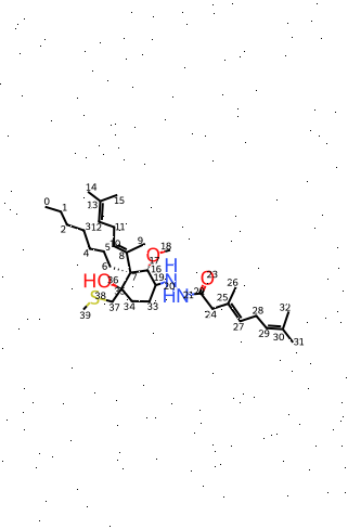 CCCCCCC[C@]1(/C(C)=C/CC=C(C)C)[C@H](OC)C(NNC(=O)C/C(C)=C/CC=C(C)C)CC[C@]1(O)CSC